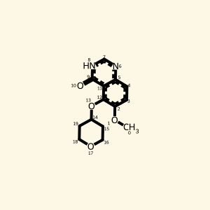 COc1ccc2nc[nH]c(=O)c2c1OC1CCOCC1